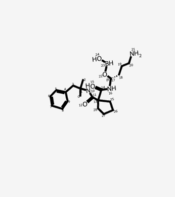 CC(C)(Cc1ccccc1)NC(=O)C1(C(=O)N[C@@H](CCCN)OBO)CCCC1